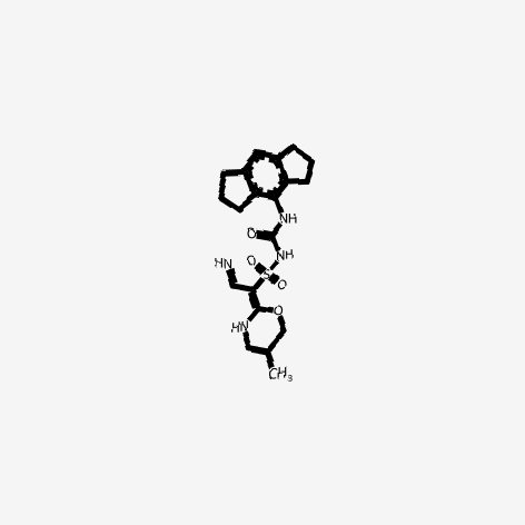 CC1CN/C(=C(\C=N)S(=O)(=O)NC(=O)Nc2c3c(cc4c2CCC4)CCC3)OC1